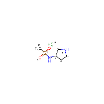 Cl.O=S(=O)(NC1CCNC1)C(F)(F)F